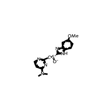 COc1ccc2[nH]c([S+]([O-])Cc3nccc(N(C)C)n3)nc2c1